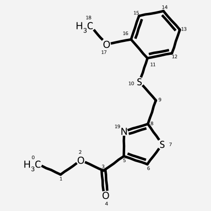 CCOC(=O)c1csc(CSc2ccccc2OC)n1